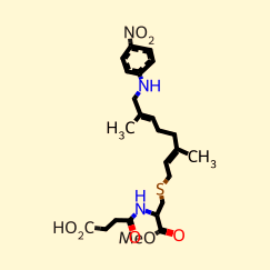 COC(=O)C(CSCC=C(C)CCC=C(C)CNc1ccc([N+](=O)[O-])cc1)NC(=O)CCC(=O)O